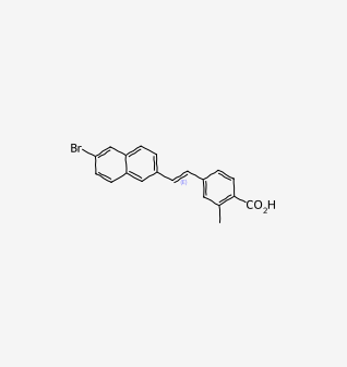 Cc1cc(/C=C/c2ccc3cc(Br)ccc3c2)ccc1C(=O)O